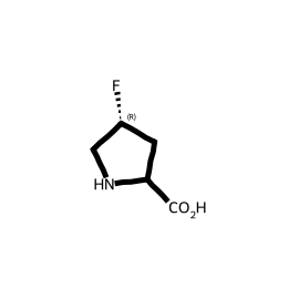 O=C(O)C1C[C@@H](F)CN1